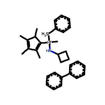 CC1=C(C)C(C)[C]([Hf]([CH3])([NH]C2CCC2)[SiH2]c2ccccc2)=C1C.c1ccc(-c2ccccc2)cc1